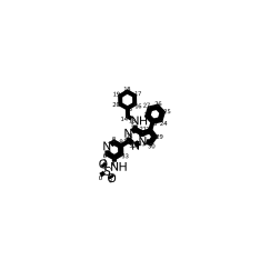 CS(=O)(=O)Nc1cncc(-c2nc(NCC3CCCCC3)c3c(-c4ccccc4)ccn3n2)c1